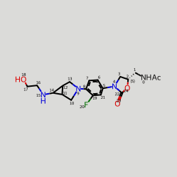 CC(=O)NC[C@H]1CN(c2ccc(N3CC4C(C3)C4NCCO)c(F)c2)C(=O)O1